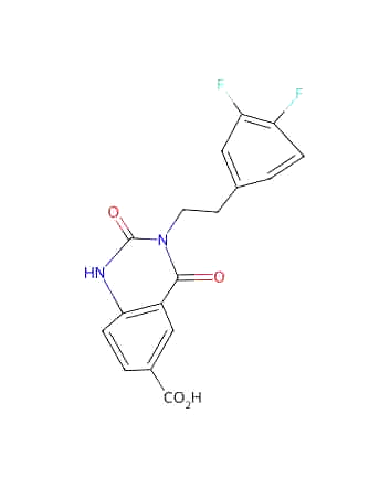 O=C(O)c1ccc2[nH]c(=O)n(CCc3ccc(F)c(F)c3)c(=O)c2c1